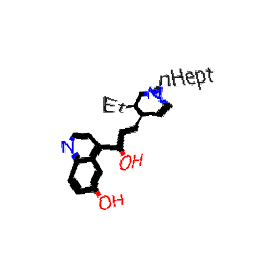 CCCCCCCN1CC[C@@H](CCC(O)c2ccnc3ccc(O)cc23)[C@@H](CC)C1